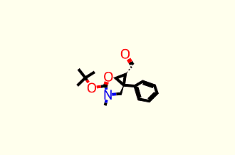 CN(C[C@@]1(c2ccccc2)C[C@@H]1C=O)C(=O)OC(C)(C)C